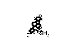 COC=Cc1cc(Cl)ccc1-c1ccc2c3c(cccc13)-c1ccccc1-2